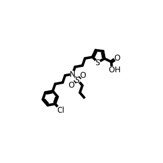 CCCS(=O)(=O)N(CCCc1cccc(Cl)c1)CCCc1ccc(C(=O)O)s1